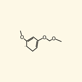 COCOC1=CC[CH]C(OC)=C1